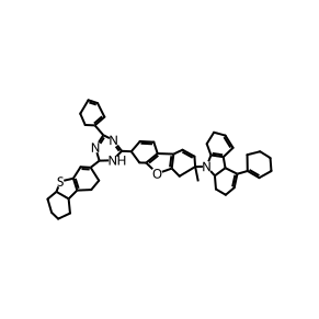 CC1(N2C3=C(C=CCC3)C3C(C4=CCCCC4)=CCCC32)C=Cc2c(oc3c2C=CC(C2=NC(C4=CC=CCC4)=NC(C4=CC5=C(CC4)C4CCCCC4S5)N2)C3)C1